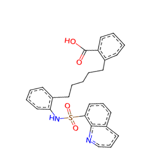 O=C(O)c1ccccc1CCCCCc1ccccc1NS(=O)(=O)c1cccc2cccnc12